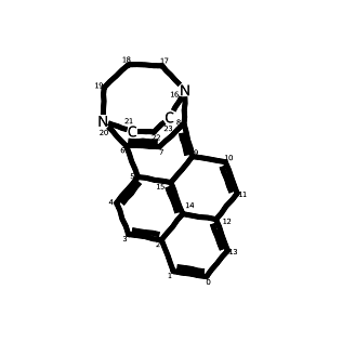 c1cc2ccc3c4cc(c5ccc(c1)c2c35)N1CCCN4CCC1